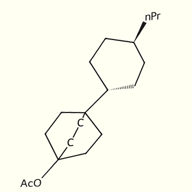 CCC[C@H]1CC[C@H](C23CCC(OC(C)=O)(CC2)CC3)CC1